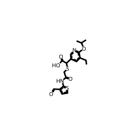 CCc1cc(C(SCC(=O)Nc2sccc2C=O)C(=O)O)cnc1OC(C)C